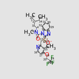 CC[C]([CH]CN(C)C(=O)n1c([S+]([O-])Cc2nccc(OCC(F)(F)F)c2C)nc2ccccc21)CC